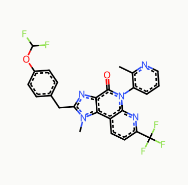 Cc1ncccc1-n1c(=O)c2nc(Cc3ccc(OC(F)F)cc3)n(C)c2c2ccc(C(F)(F)F)nc21